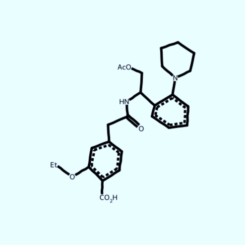 CCOc1cc(CC(=O)NC(COC(C)=O)c2ccccc2N2CCCCC2)ccc1C(=O)O